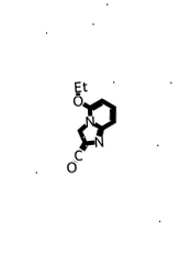 CCOC1=CC=CC2=NC(=C=O)CN12